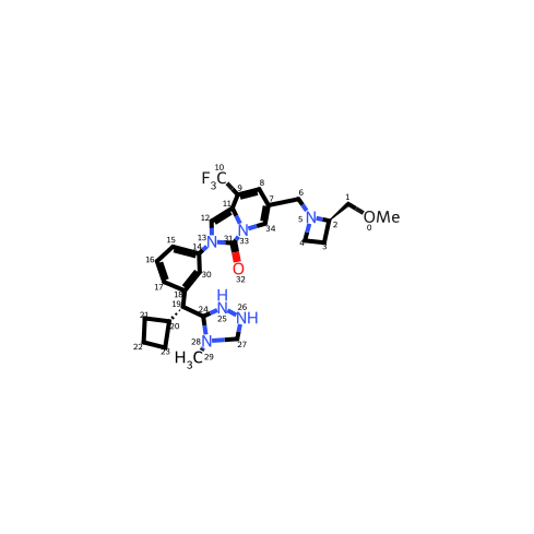 COC[C@H]1CCN1Cc1cc(C(F)(F)F)c2cn(-c3cccc([C@@H](C4CCC4)C4NNCN4C)c3)c(=O)n2c1